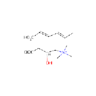 CC=CC=CC(=O)O.C[N+](C)(C)C[C@H](O)CC(=O)[O-]